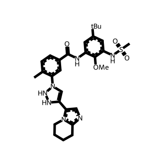 COc1c(NC(=O)c2ccc(C)c(N3C=C(c4cnc5n4CCCC5)NN3)c2)cc(C(C)(C)C)cc1NS(C)(=O)=O